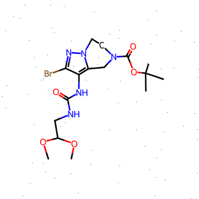 COC(CNC(=O)Nc1c(Br)nn2c1CN(C(=O)OC(C)(C)C)CC2)OC